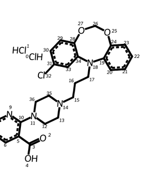 Cl.Cl.O=C(O)c1cccnc1N1CCN(CCCN2c3ccccc3OCOc3ccc(Cl)cc32)CC1